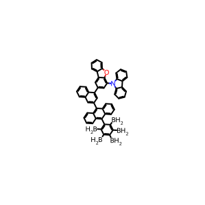 Bc1c(B)c(B)c(-c2c3ccccc3c(-c3cc(-c4cc(-n5c6ccccc6c6ccccc65)c5oc6ccccc6c5c4)c4ccccc4c3)c3ccccc23)c(B)c1B